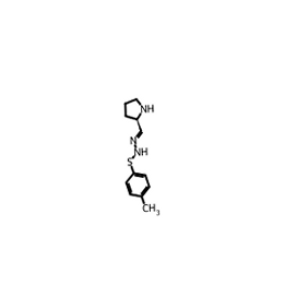 Cc1ccc(SN/N=C/[C@H]2CCCN2)cc1